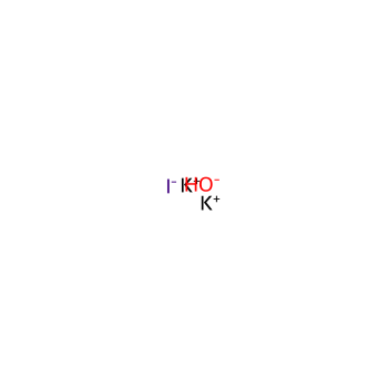 [I-].[K+].[K+].[OH-]